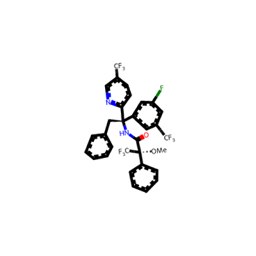 CO[C@](C(=O)N[C@@](Cc1ccccc1)(c1cc(F)cc(C(F)(F)F)c1)c1ccc(C(F)(F)F)cn1)(c1ccccc1)C(F)(F)F